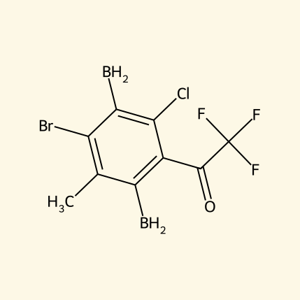 Bc1c(Cl)c(C(=O)C(F)(F)F)c(B)c(C)c1Br